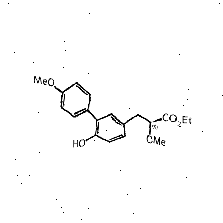 CCOC(=O)[C@H](Cc1ccc(O)c(-c2ccc(OC)cc2)c1)OC